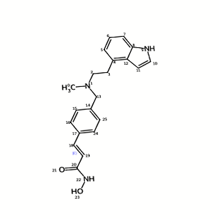 CN(CCc1cccc2[nH]ccc12)Cc1ccc(/C=C/C(=O)NO)cc1